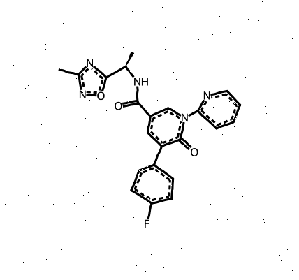 Cc1noc([C@@H](C)NC(=O)c2cc(-c3ccc(F)cc3)c(=O)n(-c3ccccn3)c2)n1